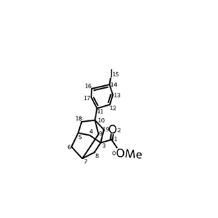 COC(=O)C12CC3CC(C1)CC(c1ccc(I)cc1)(C3)C2